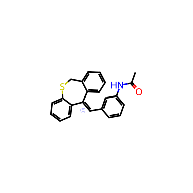 CC(=O)Nc1cccc(/C=C2\c3ccccc3CSc3ccccc32)c1